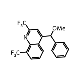 COC(c1ccccc1)c1cc(C(F)(F)F)nc2c(C(F)(F)F)cccc12